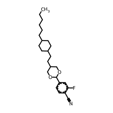 CCCCCCC1CCC(CCC2COC(c3ccc(C#N)c(F)c3)OC2)CC1